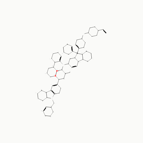 C=CC1CCC(OC2CC=C(C3(C4=CCCCC4)C4CC(N(C5=CCCCC5C5CCCCC5)C5CCC(C6=CC7=C(CC6)N(CC6C=CCCC6)C6CCCCC76)CC5C)C=CC4C4CCCCC43)CC2)CC1